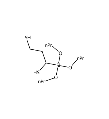 CCCO[Si](OCCC)(OCCC)C(S)CCS